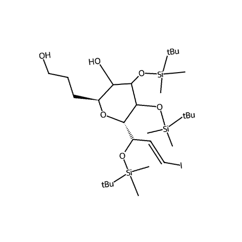 CC(C)(C)[Si](C)(C)OC1C(O[Si](C)(C)C(C)(C)C)[C@H](C(/C=C/I)O[Si](C)(C)C(C)(C)C)O[C@@H](CCCO)C1O